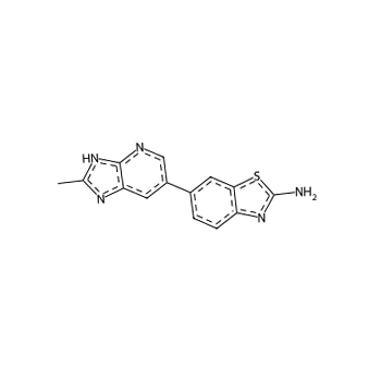 Cc1nc2cc(-c3ccc4nc(N)sc4c3)cnc2[nH]1